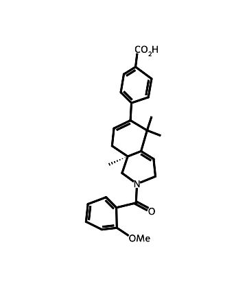 COc1ccccc1C(=O)N1CC=C2C(C)(C)C(c3ccc(C(=O)O)cc3)=CC[C@]2(C)C1